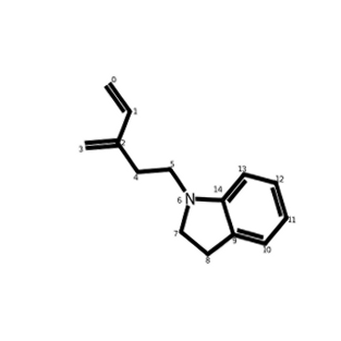 C=CC(=C)CCN1CCc2ccccc21